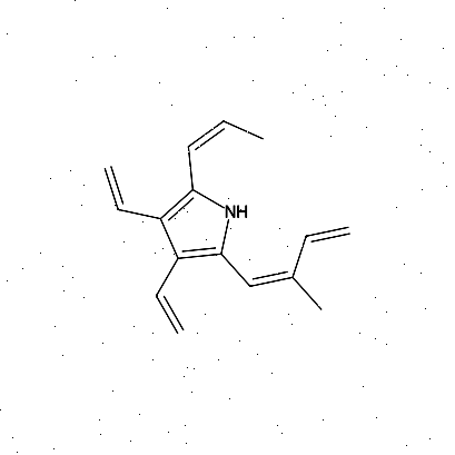 C=C/C(C)=C\c1[nH]c(/C=C\C)c(C=C)c1C=C